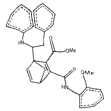 COC(=O)C1=C(C(=O)Nc2ccccc2OC)C2C=CC1(C(Cc1ccccc1)Nc1ccccc1)O2